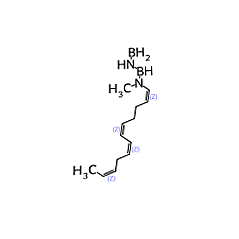 BNBN(C)/C=C\CC/C=C\C=C/C/C=C\C